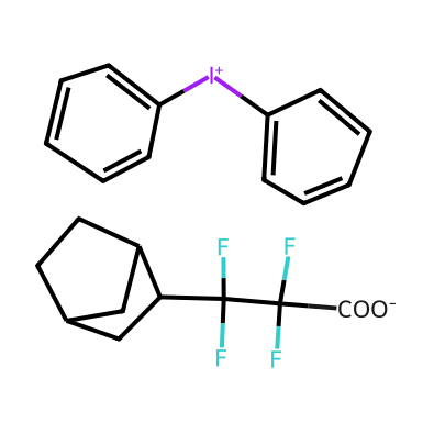 O=C([O-])C(F)(F)C(F)(F)C1CC2CCC1C2.c1ccc([I+]c2ccccc2)cc1